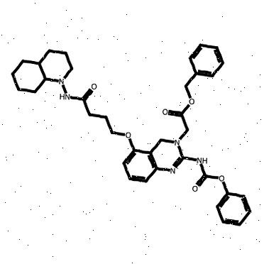 O=C(CCCOc1cccc2c1CN(CC(=O)OCc1ccccc1)C(NC(=O)Oc1ccccc1)=N2)NN1CCCC2CCCCC21